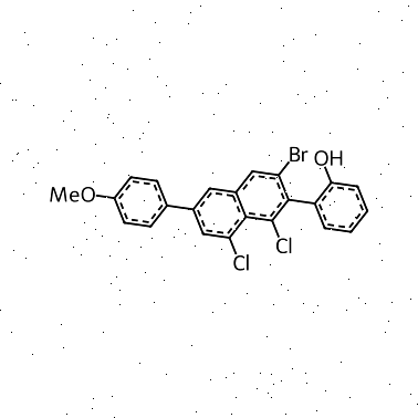 COc1ccc(-c2cc(Cl)c3c(Cl)c(-c4ccccc4O)c(Br)cc3c2)cc1